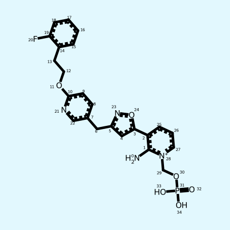 Nc1c(-c2cc(Cc3ccc(OCCc4ccccc4F)nc3)no2)ccc[n+]1COP(=O)(O)O